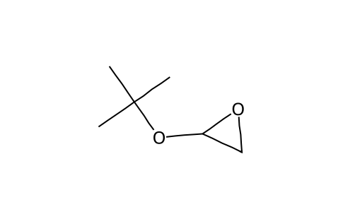 CC(C)(C)OC1CO1